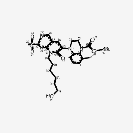 Cc1cccc2c1N(C(=O)OC(C)(C)C)CCN2c1cc2cnc(S(C)(=O)=O)nc2n(CCCCCCO)c1=O